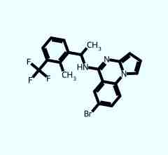 Cc1c(C(C)Nc2nc3cccn3c3ccc(Br)cc23)cccc1C(F)(F)F